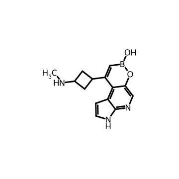 CNC1CC(C2=CB(O)Oc3cnc4[nH]ccc4c32)C1